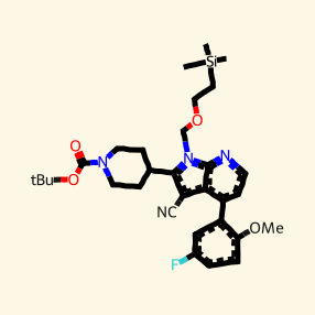 COc1ccc(F)cc1-c1ccnc2c1c(C#N)c(C1CCN(C(=O)OC(C)(C)C)CC1)n2COCC[Si](C)(C)C